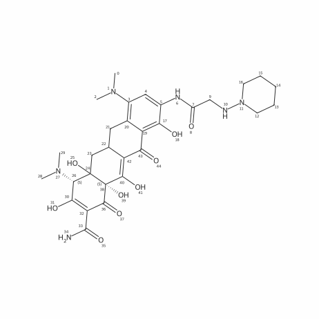 CN(C)c1cc(NC(=O)CNN2CCCCC2)c(O)c2c1CC1CC3(O)[C@@H](N(C)C)C(O)=C(C(N)=O)C(=O)[C@]3(O)C(O)=C1C2=O